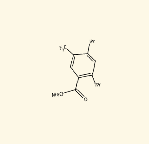 COC(=O)c1cc(C(F)(F)F)c(C(C)C)cc1C(C)C